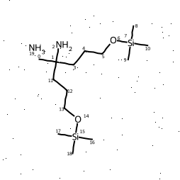 CC(N)(CCCO[Si](C)(C)C)CCCO[Si](C)(C)C.N